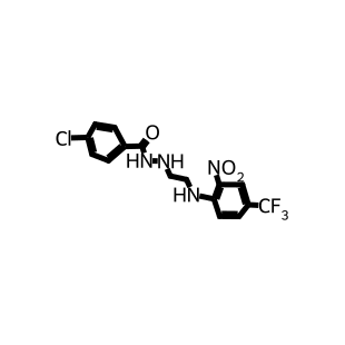 O=C(NNCCNc1ccc(C(F)(F)F)cc1[N+](=O)[O-])c1ccc(Cl)cc1